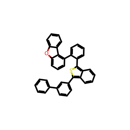 c1ccc(-c2cccc(-c3sc(-c4ccccc4-c4cccc5oc6ccccc6c45)c4ccccc34)c2)cc1